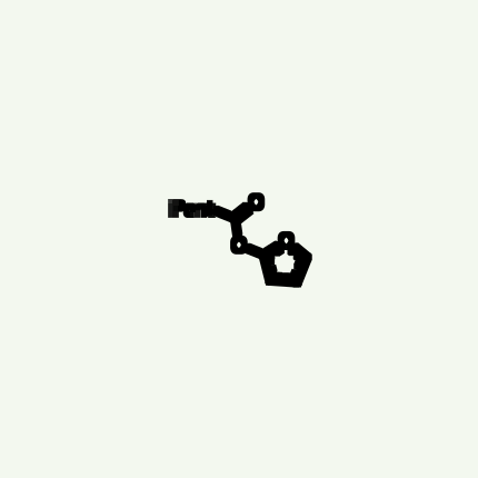 CCCC(C)C(=O)Oc1ccco1